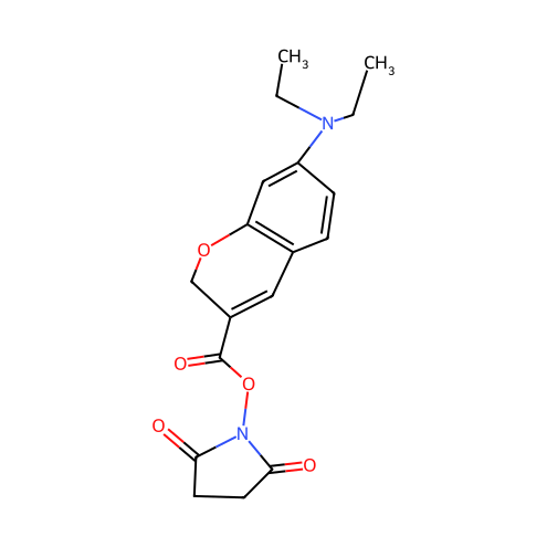 CCN(CC)c1ccc2c(c1)OCC(C(=O)ON1C(=O)CCC1=O)=C2